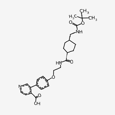 CC(C)(C)OC(=O)NCC1CCC(C(=O)NCCOc2ccc(-c3cnccc3C(=O)O)cc2)CC1